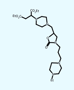 CCOC(=O)CC(C(=O)OCC)N1CCN(CC2CN(CCCN3CCN(CC)CC3)C(=O)O2)CC1